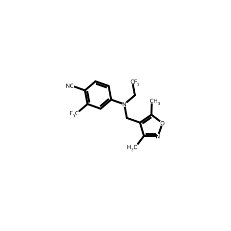 Cc1noc(C)c1CN(CC(F)(F)F)c1ccc(C#N)c(C(F)(F)F)c1